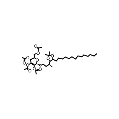 CCCCCCCCCCCCCCC1OC(C)(C)O[C@H]1[C@@H](C)CCS[C@@H]1OC(COC(C)=O)[C@@H](OC(C)=O)C(OC(C)=O)=C1OC(C)=O